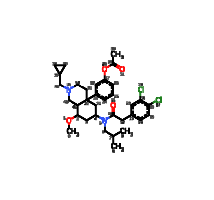 COC1CC(N(CC(C)C)C(=O)Cc2ccc(Cl)c(Cl)c2)CC2(c3cccc(OC(C)=O)c3)CCN(CC3CC3)CC12